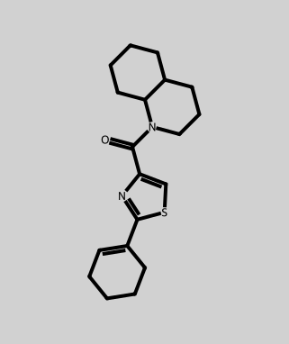 O=C(c1csc(C2=CCCCC2)n1)N1CCCC2CCCCC21